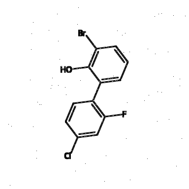 Oc1c(Br)cccc1-c1ccc(Cl)cc1F